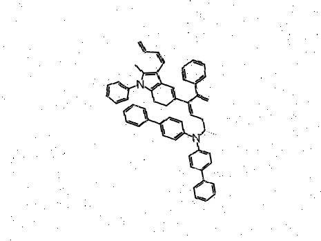 C=C/C=C\c1c2c(n(-c3ccccc3)c1C)CCC(/C(=C/C[C@H](C)N(c1ccc(-c3ccccc3)cc1)c1ccc(-c3ccccc3)cc1)C(=C)c1ccccc1)=C2